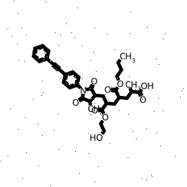 CCCCOC(=O)C(CC(C)C(=O)O)CC(CC1C(=O)N(c2ccc(C#Cc3ccccc3)cc2)C(=O)C1C)C(=O)OCCO